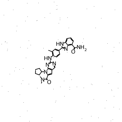 Cc1cc(-c2nc3c(C(N)=O)cccc3[nH]2)ccc1Nc1ncc2cc(C(=O)N(C)C)n(C3CCCC3)c2n1